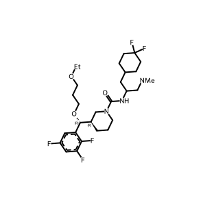 CCOCCCO[C@@H](c1cc(F)cc(F)c1F)[C@@H]1CCCN(C(=O)NC(CNC)CC2CCC(F)(F)CC2)C1